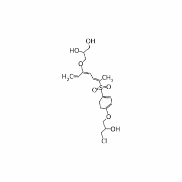 C=C/C(=C\C=C(/C)S(=O)(=O)C1=CC=C(OCC(O)CCl)CC1)OCC(O)CO